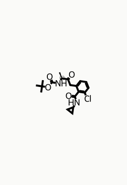 C[C@H](NC(=O)OC(C)(C)C)C(=O)Cc1cccc(Cl)c1C(=O)NC1CC1